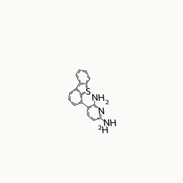 [2H]Nc1ccc(-c2cccc3c2sc2ccccc23)c(N)n1